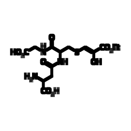 CCOC(=O)C(O)=CSCC(NC(=O)CC(N)C(=O)O)C(=O)NCC(=O)O